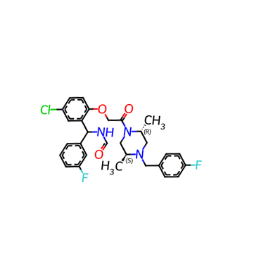 C[C@@H]1CN(Cc2ccc(F)cc2)[C@@H](C)CN1C(=O)COc1ccc(Cl)cc1C(NC=O)c1cccc(F)c1